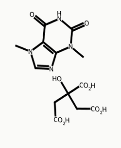 Cn1cnc2c1c(=O)[nH]c(=O)n2C.O=C(O)CC(O)(CC(=O)O)C(=O)O